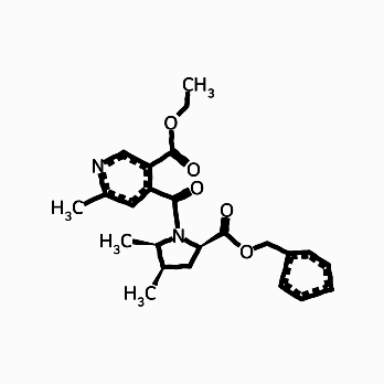 CCOC(=O)c1cnc(C)cc1C(=O)N1[C@@H](C(=O)OCc2ccccc2)C[C@@H](C)[C@H]1C